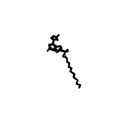 CCCCCCCCCCCCOC(=O)c1cc2c(-c3ccc(C)s3)sc(C)c2s1